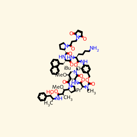 CC[C@H](C)[C@@H]([C@@H](CC(=O)N1CCC[C@H]1[C@H](OC)[C@@H](C)C(=O)N[C@H](C)[C@@H](O)c1ccccc1)OC)N(C)C(=O)[C@@H](NC(=O)[C@H](C(C)C)N(C)C(=O)OCc1ccc(NC(=O)[C@H](CCCCN)NC(=O)[C@H](Cc2cccc3ccccc23)NC(=O)[C@@H]2CCCN2C(=O)CCN2C(=O)C=CC2=O)cc1)C(C)C